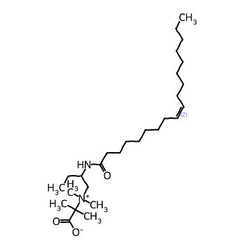 CCCCCCCC/C=C\CCCCCCCC(=O)NC(CC)C[N+](C)(C)C(C)(C)C(=O)[O-]